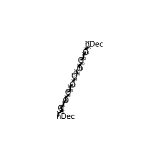 CCCCCCCCCCCCOCCOCCOCCOCCOCCOCCOCCOCCCCCCCCCCCC